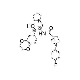 O=C(N[C@H](CN1CCCC1)[C@H](O)c1ccc2c(c1)OCCO2)[C@H]1CCN(c2ccc(F)cc2)C1